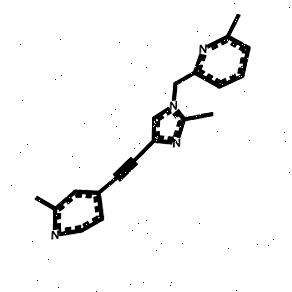 Cc1cc(C#Cc2cn(Cc3cccc(C)n3)c(C)n2)ccn1